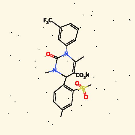 CC1=C(C(=O)O)C(c2ccc(C)cc2S(C)(=O)=O)N(C)C(=O)N1c1cccc(C(F)(F)F)c1